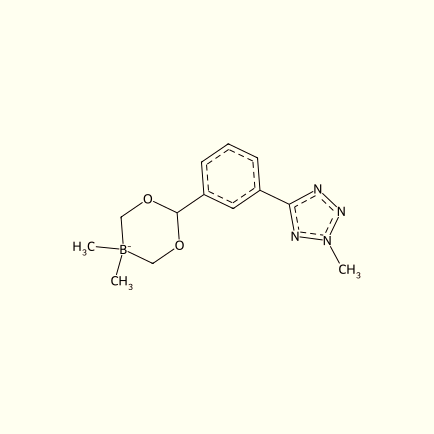 Cn1nnc(-c2cccc(C3OC[B-](C)(C)CO3)c2)n1